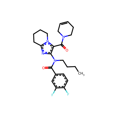 CCCCN(C(=O)c1ccc(F)c(F)c1)c1nc2n(c1C(=O)N1CC=CCC1)CCCC2